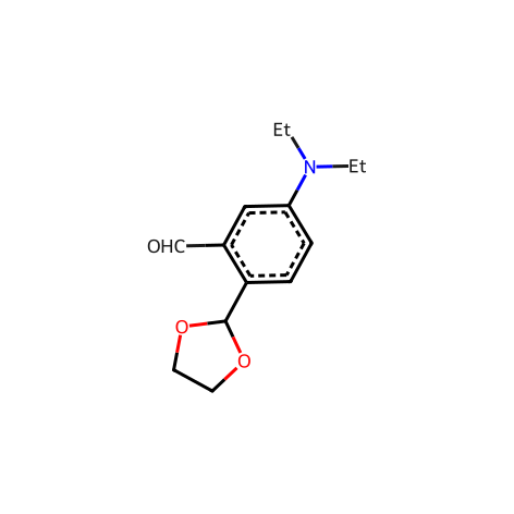 CCN(CC)c1ccc(C2OCCO2)c(C=O)c1